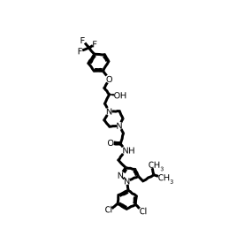 CC(C)Cc1cc(CNC(=O)CN2CCN(C[C@H](O)COc3ccc(C(F)(F)F)cc3)CC2)nn1-c1cc(Cl)cc(Cl)c1